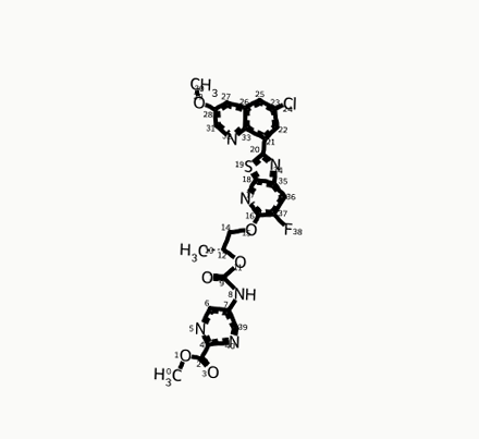 COC(=O)c1ncc(NC(=O)O[C@H](C)COc2nc3sc(-c4cc(Cl)cc5cc(OC)cnc45)nc3cc2F)cn1